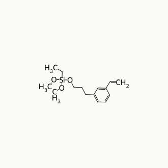 C=Cc1cccc(CCCO[Si](CC)(OC)OC)c1